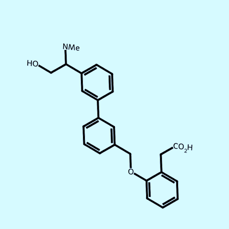 CNC(CO)c1cccc(-c2cccc(COc3ccccc3CC(=O)O)c2)c1